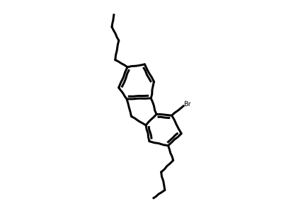 CCCCc1ccc2c(c1)Cc1cc(CCCC)cc(Br)c1-2